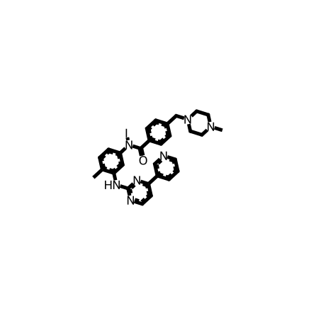 Cc1ccc(N(I)C(=O)c2ccc(CN3CCN(C)CC3)cc2)cc1Nc1nccc(-c2cccnc2)n1